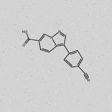 N#Cc1ccc(-c2cnn3cc(C(=O)O)ccc23)cc1